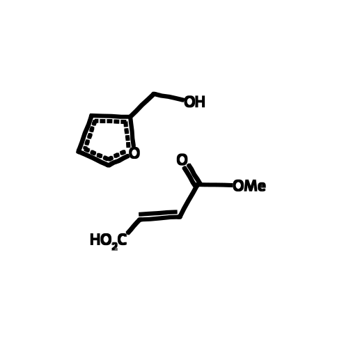 COC(=O)/C=C/C(=O)O.OCc1ccco1